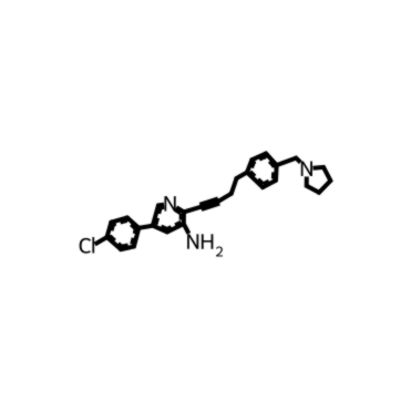 Nc1cc(-c2ccc(Cl)cc2)cnc1C#CCCc1ccc(CN2CCCC2)cc1